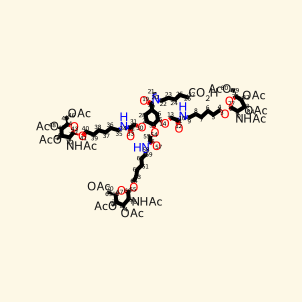 CC(=O)N[C@@H]1[C@@H](OCCCCCCNC(=O)CO[C@@H]2CC(C(=O)N(C)CCCCCC(=O)O)C[C@@H](OCC(=O)NCCCCCCO[C@@H]3O[C@H](COC(C)=O)[C@H](OC(C)=O)[C@H](OC(C)=O)[C@H]3NC(C)=O)C2OCC(=O)NCCCCCCO[C@@H]2O[C@H](COC(C)=O)[C@H](OC(C)=O)[C@H](OC(C)=O)[C@H]2NC(C)=O)O[C@H](COC(C)=O)[C@H](OC(C)=O)[C@@H]1OC(C)=O